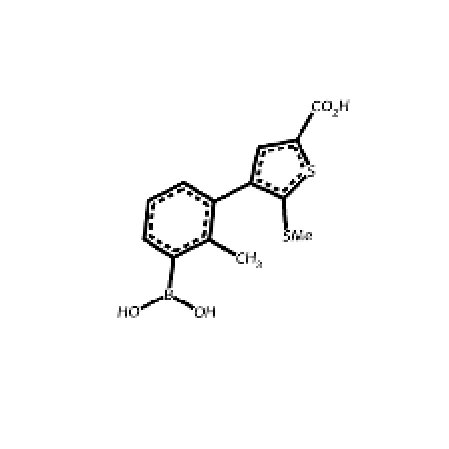 CSc1sc(C(=O)O)cc1-c1cccc(B(O)O)c1C